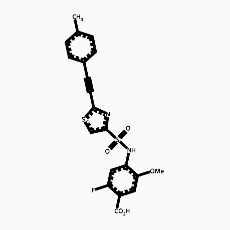 COc1cc(C(=O)O)c(F)cc1NS(=O)(=O)c1csc(C#Cc2ccc(C)cc2)n1